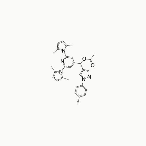 CC(=O)OC(c1cc(-n2c(C)ccc2C)nc(-n2c(C)ccc2C)c1)c1cnn(-c2ccc(F)cc2)c1